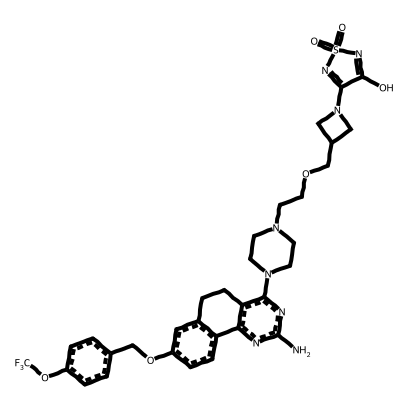 Nc1nc2c(c(N3CCN(CCOCC4CN(C5=NS(=O)(=O)N=C5O)C4)CC3)n1)CCc1cc(OCc3ccc(OC(F)(F)F)cc3)ccc1-2